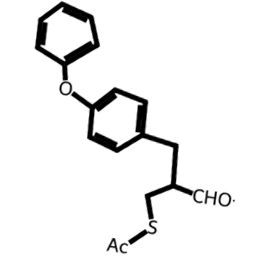 CC(=O)SCC([C]=O)Cc1ccc(Oc2ccccc2)cc1